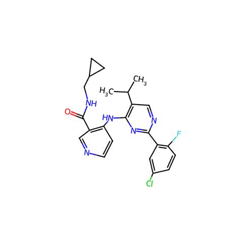 CC(C)c1cnc(-c2cc(Cl)ccc2F)nc1Nc1ccncc1C(=O)NCC1CC1